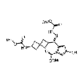 COC(=O)N/N=C(/c1cc(C)cn1C(=O)OC)C1CC2(CC(NC(=O)OC(C)(C)C)C2)C1